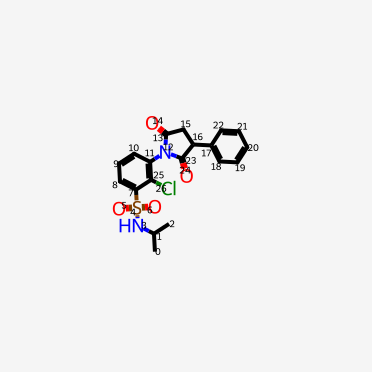 CC(C)NS(=O)(=O)c1cccc(N2C(=O)CC(c3ccccc3)C2=O)c1Cl